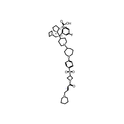 O=C(O)N[C@H]1CCC[C@@H]1[C@](CN1CCC1)(c1cccc(F)c1)C1CCN(C2CCCN(c3ccc(S(=O)(=O)C4CN(C(=O)/C=C/CN5CCCCC5)C4)cc3)CC2)CC1